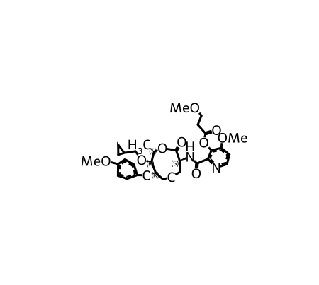 COCCC(=O)Oc1c(OC)ccnc1C(=O)N[C@H]1CCC[C@H](Cc2ccc(OC)cc2)[C@@H](OCC2CC2)[C@H](C)OC1=O